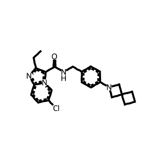 CCc1nc2ccc(Cl)cn2c1C(=O)NCc1ccc(N2CC3(CCC3)C2)cc1